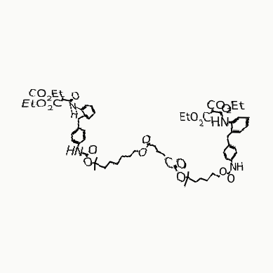 CCOC(=O)C(C(=O)Nc1ccccc1Cc1ccc(NC(=O)OCCCCCC(C)(C)OC(=O)CCCCC(=O)OCCCCCCC(C)(C)OC(=O)Nc2ccc(Cc3ccccc3NC(=O)C(C(=O)OCC)C(=O)OCC)cc2)cc1)C(=O)OCC